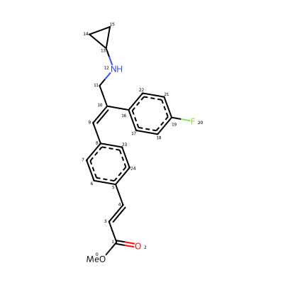 COC(=O)C=Cc1ccc(C=C(CNC2CC2)c2ccc(F)cc2)cc1